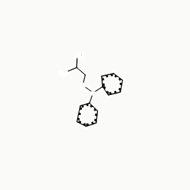 C[C](C)COP(c1ccccc1)c1ccccc1